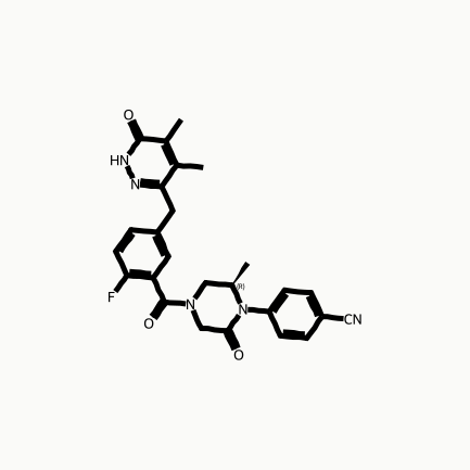 Cc1c(Cc2ccc(F)c(C(=O)N3CC(=O)N(c4ccc(C#N)cc4)[C@H](C)C3)c2)n[nH]c(=O)c1C